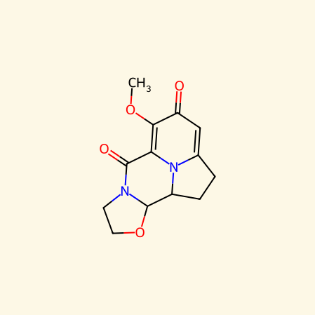 COc1c2n3c(cc1=O)CCC3C1OCCN1C2=O